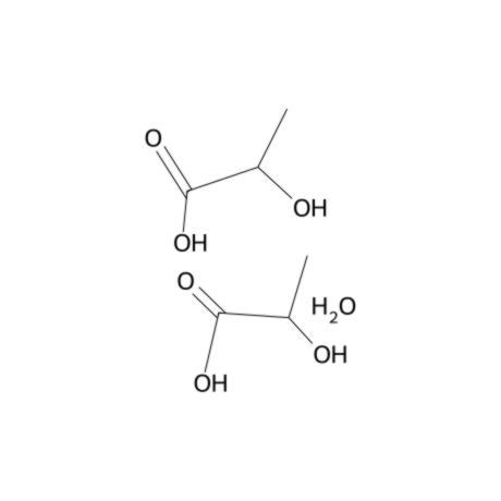 CC(O)C(=O)O.CC(O)C(=O)O.O